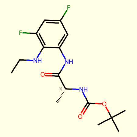 CCNc1c(F)cc(F)cc1NC(=O)[C@@H](C)NC(=O)OC(C)(C)C